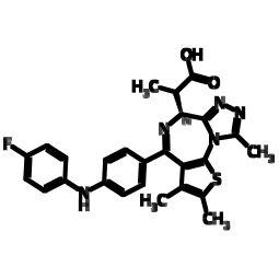 Cc1sc2c(c1C)C(c1ccc(Nc3ccc(F)cc3)cc1)=N[C@@H](C(C)C(=O)O)c1nnc(C)n1-2